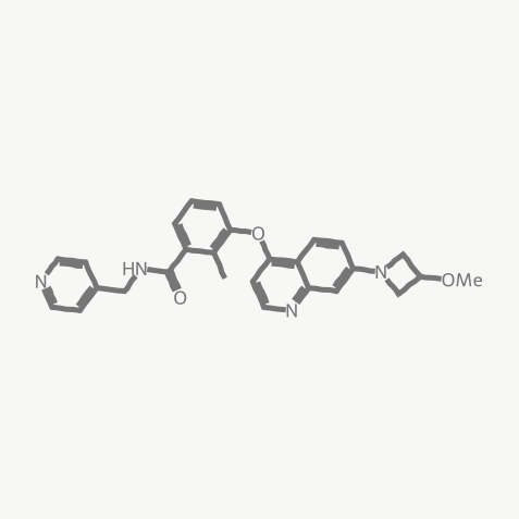 COC1CN(c2ccc3c(Oc4cccc(C(=O)NCc5ccncc5)c4C)ccnc3c2)C1